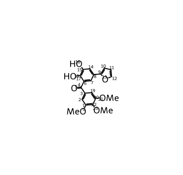 COc1cc(C(=O)c2cc(-c3ccco3)cc(O)c2O)cc(OC)c1OC